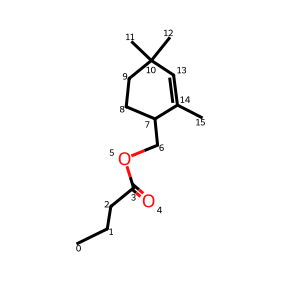 CCCC(=O)OCC1CCC(C)(C)C=C1C